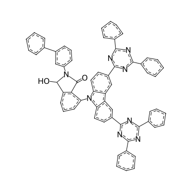 O=C1c2c(cccc2-n2c3ccc(-c4nc(-c5ccccc5)nc(-c5ccccc5)n4)cc3c3cc(-c4nc(-c5ccccc5)nc(-c5ccccc5)n4)ccc32)C(O)N1c1cccc(-c2ccccc2)c1